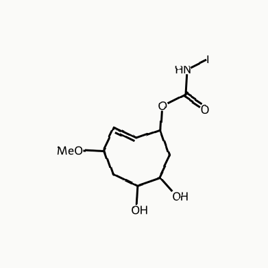 COC1/C=C/C(OC(=O)NI)CC(O)C(O)C1